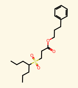 CCCC(CCC)S(=O)(=O)CCC(=O)OCCCc1ccccc1